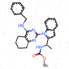 CC(NC(=O)OC(C)(C)C)c1cc2ccccc2n1-c1nc2c(c(NCc3ccccc3)n1)CCCC2